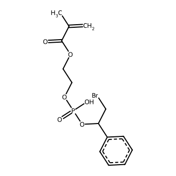 C=C(C)C(=O)OCCOP(=O)(O)OC(CBr)c1ccccc1